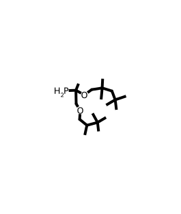 CC(COCC(C)(P)OCC(C)(C)CC(C)(C)C)C(C)(C)C